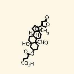 CC12CC[C@H]3[C@@H](CCC4(O)CC(OC(=O)CCC(=O)O)CCC34C=O)C1(O)CCC2C1=CC(=O)OC1